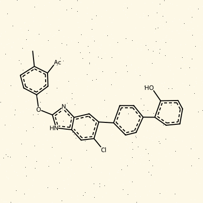 CC(=O)c1cc(Oc2nc3cc(-c4ccc(-c5ccccc5O)cc4)c(Cl)cc3[nH]2)ccc1C